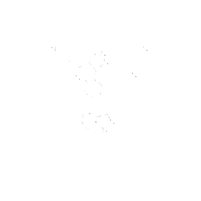 Cc1cc2c(cnn2C2CCCCO2)c(-c2c(Cl)cc3c(nc(OC[C@@H]4CCCN4C)c4cnn(C5CCN(C(=O)O)C(CC#N)C5)c43)c2F)c1C